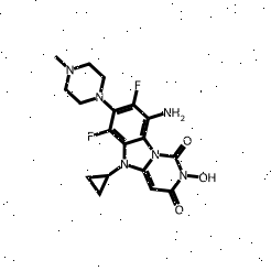 CN1CCN(c2c(F)c(N)c3c(c2F)n(C2CC2)c2cc(=O)n(O)c(=O)n32)CC1